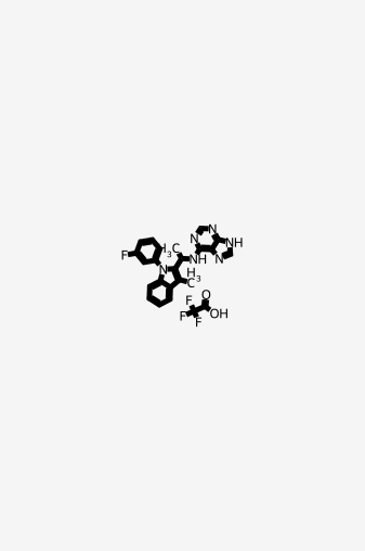 Cc1c(C(C)Nc2ncnc3[nH]cnc23)n(-c2cccc(F)c2)c2ccccc12.O=C(O)C(F)(F)F